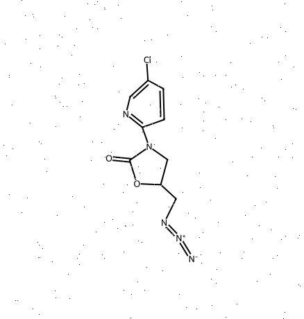 [N-]=[N+]=NCC1CN(c2ccc(Cl)cn2)C(=O)O1